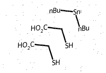 CCC[CH2][Sn][CH2]CCC.O=C(O)CS.O=C(O)CS